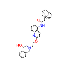 O=C(CC12CC3CC(CC(C3)C1)C2)Nc1cccc2nc(OCCN(CCO)Cc3ccccc3)ccc12